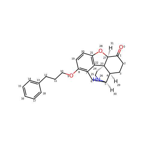 O=C1CC[C@H]2[C@H]3Cc4c(OCCCc5ccccc5)ccc5c4[C@@]2(CCN3)[C@H]1O5